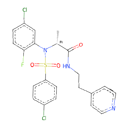 C[C@H](C(=O)NCCc1ccncc1)N(c1cc(Cl)ccc1F)S(=O)(=O)c1ccc(Cl)cc1